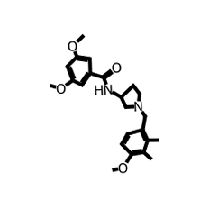 COc1cc(OC)cc(C(=O)NC2CCN(Cc3ccc(OC)c(C)c3C)C2)c1